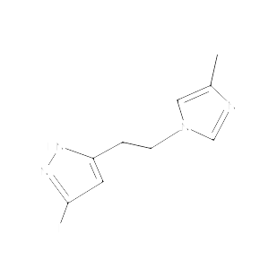 Ic1cn(CCc2cc(I)n[nH]2)cn1